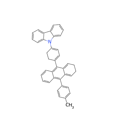 Cc1ccc(-c2c3c(c(C4=CC=C(n5c6ccccc6c6ccccc65)CC4)c4ccccc24)=CCCC=3)cc1